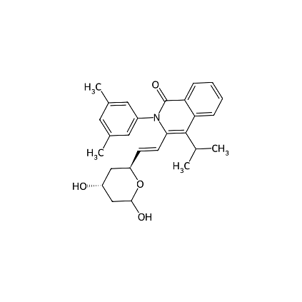 Cc1cc(C)cc(-n2c(C=C[C@@H]3C[C@@H](O)CC(O)O3)c(C(C)C)c3ccccc3c2=O)c1